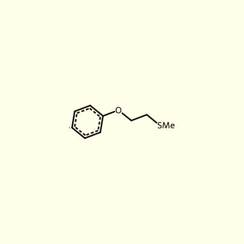 CSCCOc1cc[c]cc1